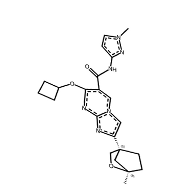 Cn1ccc(NC(=O)c2cn3cc([C@]45CC[C@](C)(C4)OC5)nc3nc2OC2CCC2)n1